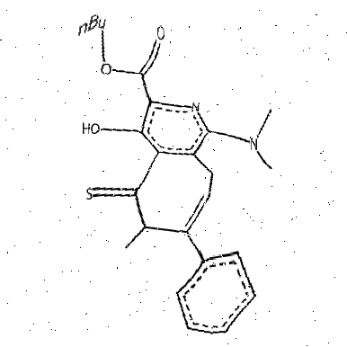 CCCCOC(=O)c1nc(N(C)C)c2c(c1O)C(=S)C(C)C(c1ccccc1)=C2